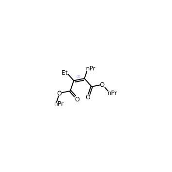 CCCOC(=O)/C(CC)=C(/CCC)C(=O)OCCC